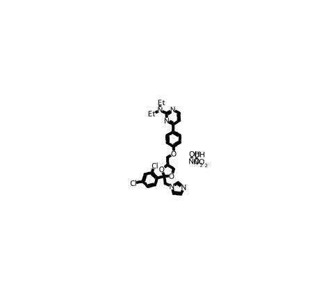 CCN(CC)c1nccc(-c2ccc(OCC3COC(Cn4ccnc4)(c4ccc(Cl)cc4Cl)O3)cc2)n1.O=[N+]([O-])O.O=[N+]([O-])O